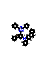 CC1(C)c2ccccc2-c2cc3c(cc21)c1ccccc1n3-c1cc(-c2nc(-c3ccccc3)nc(-c3ccccc3)n2)c2sc3ccccc3c2c1